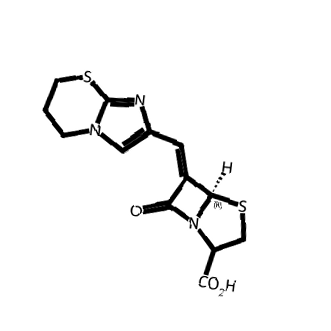 O=C(O)C1CS[C@@H]2C(=Cc3cn4c(n3)SCCC4)C(=O)N12